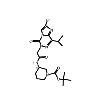 CC(C)c1nn(CC(=O)N[C@@H]2CCCN(C(=O)OC(C)(C)C)C2)c(=O)n2cc(Br)nc12